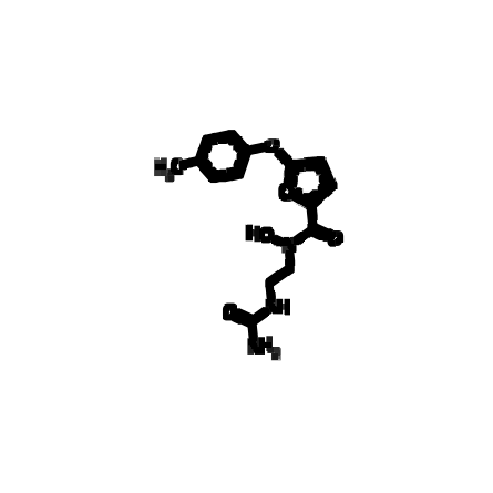 Cc1ccc(Oc2ccc(C(=O)N(O)CCNC(N)=O)o2)cc1